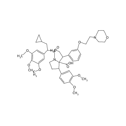 CCC(c1cccc(OCCN2CCOCC2)c1)C1(C(=O)O)C(c2ccc(OC)c(OC)c2)CCN1C(=O)C(CC1CC1)c1cc(OC)c(OC)c(OC)c1